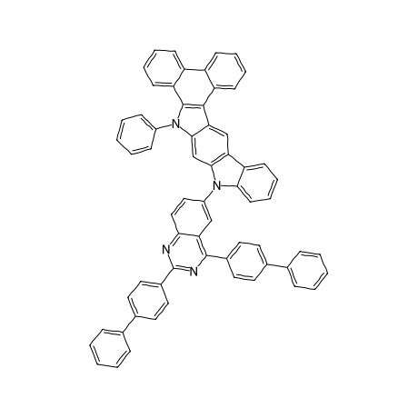 c1ccc(-c2ccc(-c3nc(-c4ccc(-c5ccccc5)cc4)c4cc(-n5c6ccccc6c6cc7c8c9ccccc9c9ccccc9c8n(-c8ccccc8)c7cc65)ccc4n3)cc2)cc1